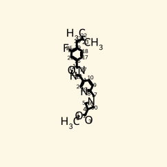 COC(=O)C1CN(Cc2ccc(-c3noc(-c4ccc(CC(C)C)c(F)c4)n3)cn2)C1